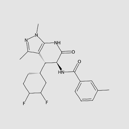 Cc1cccc(C(=O)N[C@@H]2C(=O)Nc3c(c(C)nn3C)[C@H]2[C@H]2CCC(F)C(F)C2)c1